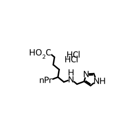 CCCC(CCCC(=O)O)CNCc1c[nH]cn1.Cl.Cl